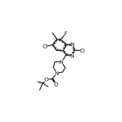 Cc1c(Cl)cc2c(N3CCN(C(=O)OC(C)(C)C)CC3)nc(Cl)nc2c1F